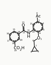 CC(=O)c1ccc(OCC2CC2)c(NC(=O)c2cccc(C(=O)O)c2)c1